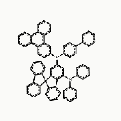 c1ccc(-c2ccc(N(c3cc(N(c4ccccc4)c4ccccc4)c4c(c3)C3(c5ccccc5-c5ccccc53)c3ccccc3-4)c3ccc4c5ccccc5c5ccccc5c4c3)cc2)cc1